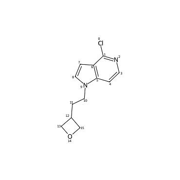 Clc1nccc2c1ccn2CCC1COC1